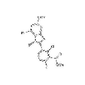 COC(=O)c1c(Cl)ccc(-n2sc3cc(OC)cc(C(C)C)c3c2=O)c1Cl